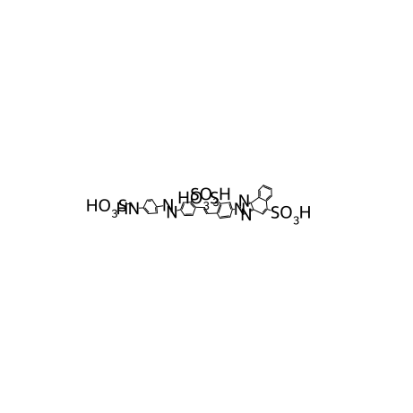 O=S(=O)(O)CNc1ccc(N=Nc2ccc(C=Cc3ccc(-n4nc5cc(S(=O)(=O)O)c6ccccc6c5n4)cc3S(=O)(=O)O)c(S(=O)(=O)O)c2)cc1